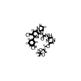 CC1(C)OC[C@@H](COc2cncc(NC(=O)N3c4nc(-c5cccc(C(F)(F)F)c5)c(Cl)cc4N4CCC3C4)n2)O1